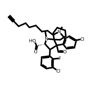 C#CCCCCCCCN(C)c1cc(Cl)ccc1C1(C=O)C(c2cccc(Cl)c2F)[C@H](C(=O)O)N(C)C12CCCCC2